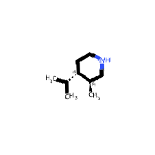 CC(C)[C@@H]1CCNC[C@H]1C